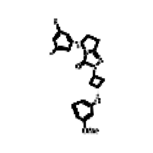 COc1cccc(O[C@H]2C[C@H](n3nc4n(c3=O)[C@H](c3cc(F)cc(F)c3)CC4)C2)c1